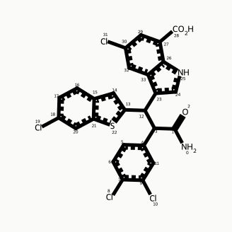 NC(=O)C(c1ccc(Cl)c(Cl)c1)C(c1cc2ccc(Cl)cc2s1)c1c[nH]c2c(C(=O)O)cc(Cl)cc12